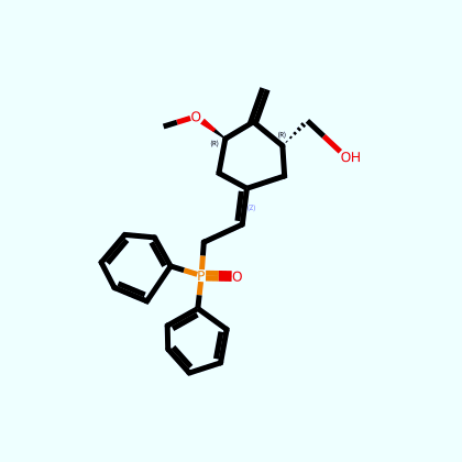 C=C1[C@H](CO)C/C(=C/CP(=O)(c2ccccc2)c2ccccc2)C[C@H]1OC